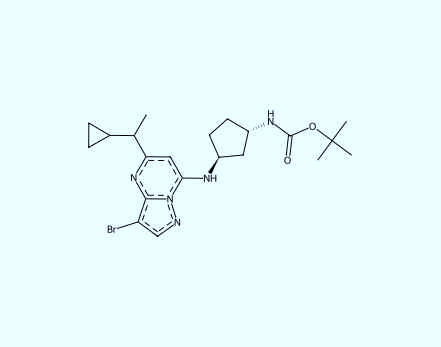 CC(c1cc(N[C@H]2CC[C@H](NC(=O)OC(C)(C)C)C2)n2ncc(Br)c2n1)C1CC1